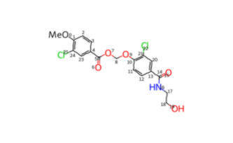 COc1ccc(C(=O)OCOc2ccc(C(=O)NCCO)cc2Cl)cc1Cl